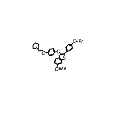 COc1ccc2c(Oc3ccc(OCCN4CCCC4)cc3)c(-c3ccc(OC(C)C)cc3)sc2c1